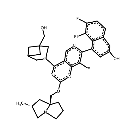 CCc1c(F)ccc2cc(O)cc(-c3ncc4c(N5CC6CC(CO)(C6)C5)nc(OC[C@@]56CCCN5C[C@H](C)C6)nc4c3F)c12